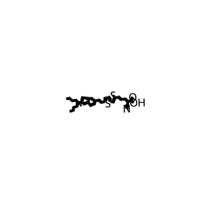 CCCCN(CCCC)c1ccc2cc(/C=C/c3cc4sc(/C=C/C=C(\C#N)C(=O)O)cc4s3)ccc2c1